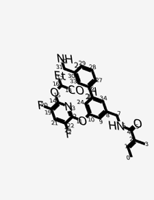 CC=C(C)C(=O)NCc1cc(Oc2nc(OC(CC)C(=O)O)c(F)cc2F)cc(-c2cccc(CN)c2)c1